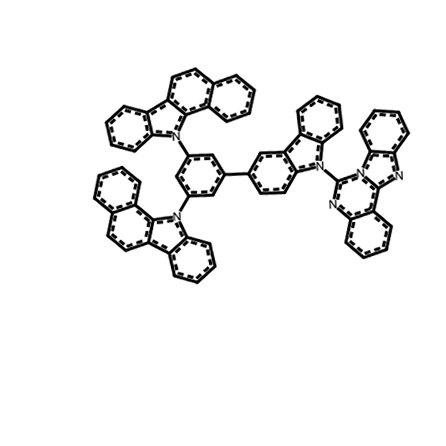 c1ccc2c(c1)ccc1c3ccccc3n(-c3cc(-c4ccc5c(c4)c4ccccc4n5-c4nc5ccccc5c5nc6ccccc6n45)cc(-n4c5ccccc5c5ccc6ccccc6c54)c3)c21